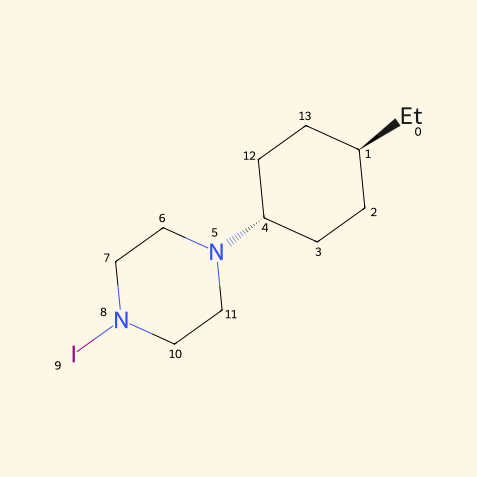 CC[C@H]1CC[C@H](N2CCN(I)CC2)CC1